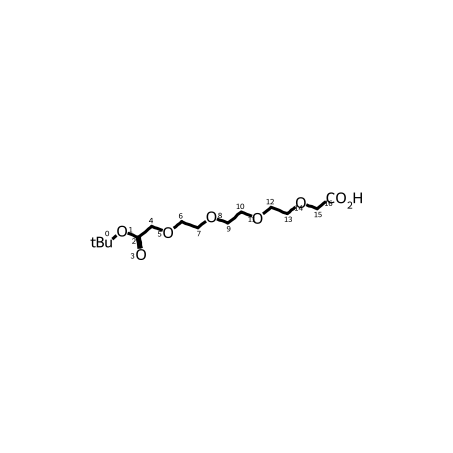 CC(C)(C)OC(=O)COCCOCCOCCOCC(=O)O